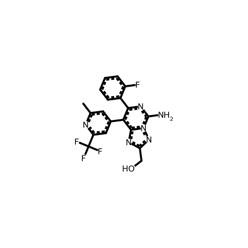 Cc1cc(-c2c(-c3ccccc3F)nc(N)n3nc(CO)nc23)cc(C(F)(F)F)n1